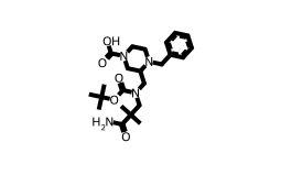 CC(C)(C)OC(=O)N(CC1CN(C(=O)O)CCN1Cc1ccccc1)CC(C)(C)C(N)=O